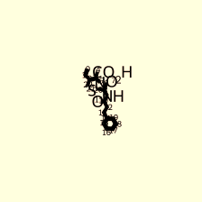 C=CC1=C(C(=O)O)N2C(=O)C(NC(=O)CCc3ccccc3)C2SC1